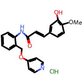 COc1ccc(/C=C/C(=O)Nc2ccccc2COc2ccncc2)cc1O.Cl